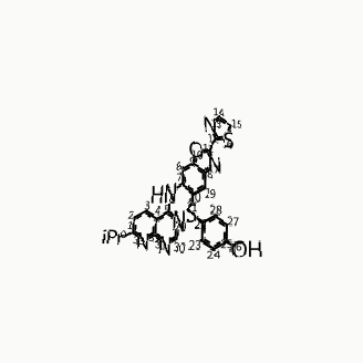 CC(C)c1ccc2c(Nc3cc4oc(-c5nccs5)nc4cc3Sc3ccc(O)cc3)ncnc2n1